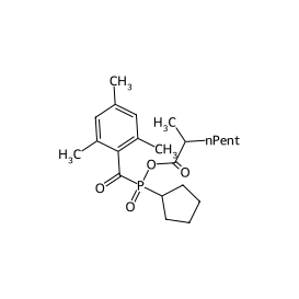 CCCCCC(C)C(=O)OP(=O)(C(=O)c1c(C)cc(C)cc1C)C1CCCC1